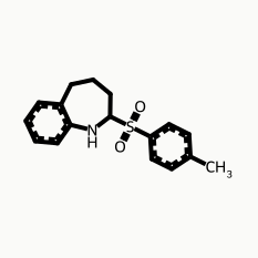 Cc1ccc(S(=O)(=O)C2CCCc3ccccc3N2)cc1